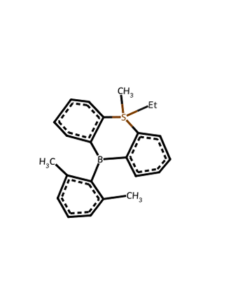 CCS1(C)c2ccccc2B(c2c(C)cccc2C)c2ccccc21